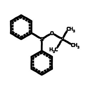 C[Si](C)(C)O[Si](c1ccccc1)c1ccccc1